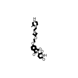 C[C@H]1CNCCN1CCN1CC(OCCOc2ccc3c(c2)C(=O)N(C2CCC(=O)NC2=O)C3=O)C1